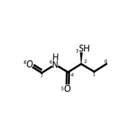 CC[C@H](S)C(=O)NC=O